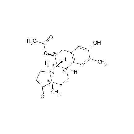 CC(=O)O[C@H]1Cc2cc(O)c(C)cc2[C@H]2CC[C@]3(C)C(=O)CC[C@H]3[C@H]12